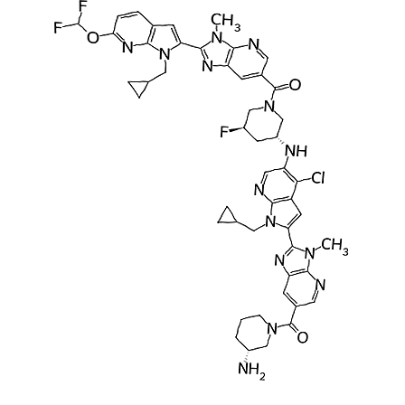 Cn1c(-c2cc3ccc(OC(F)F)nc3n2CC2CC2)nc2cc(C(=O)N3C[C@H](F)C[C@@H](Nc4cnc5c(cc(-c6nc7cc(C(=O)N8CCC[C@@H](N)C8)cnc7n6C)n5CC5CC5)c4Cl)C3)cnc21